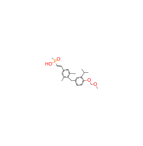 COCOc1ccc(Cc2c(C)cc(/C=C/P(C)(=O)O)cc2C)cc1C(C)C